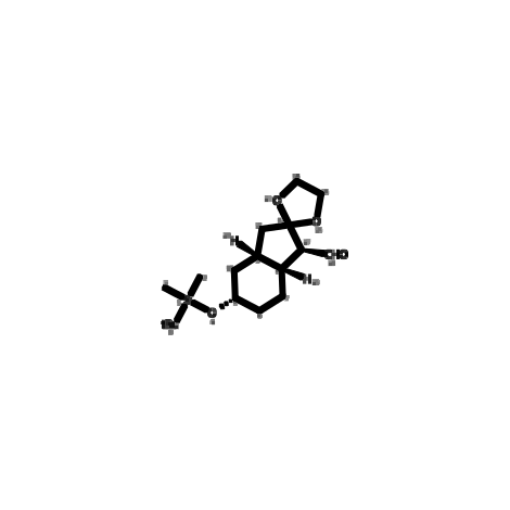 CC(C)(C)[Si](C)(C)O[C@H]1CC[C@@H]2[C@H](C1)CC1(OCCO1)[C@H]2C=O